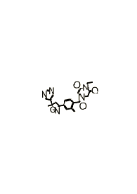 CCN1C(=O)CN(C(=O)c2ccc(C3=NOC(C)(c4cncnc4)C3)cc2C)CC1=O